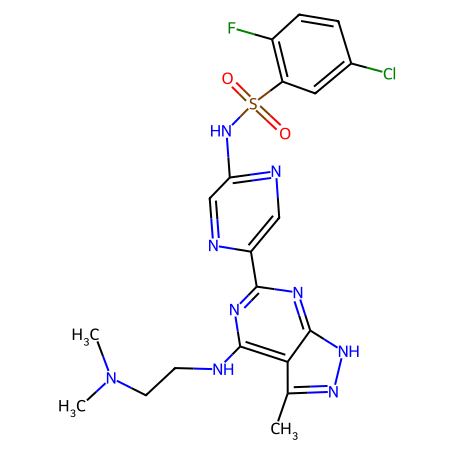 Cc1n[nH]c2nc(-c3cnc(NS(=O)(=O)c4cc(Cl)ccc4F)cn3)nc(NCCN(C)C)c12